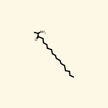 CCCCCCCCCCCCCCCC(=O)C(C)N